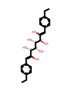 CCc1ccc(C=C(O)[C@@H](O)[C@@H](O)[C@H](O)[C@@H](O)C(O)=Cc2ccc(CC)cc2)cc1